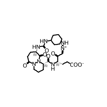 N=[N+]=CC(=O)[C@H](CCC(=O)[O-])NC(=O)[C@@H]1CCCN2C(=O)CC[C@H](NC(=O)NC3CCCCC3)C(=O)N12